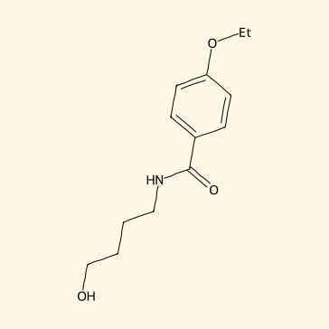 CCOc1ccc(C(=O)NCCCCO)cc1